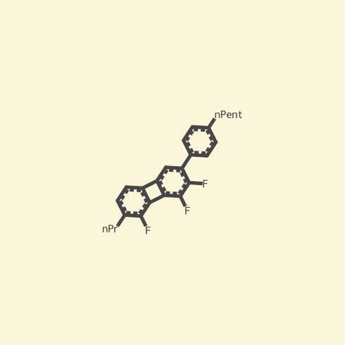 CCCCCc1ccc(-c2cc3c(c(F)c2F)-c2c-3ccc(CCC)c2F)cc1